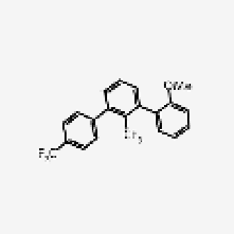 COc1ccccc1-c1cc[c]c(-c2ccc(C(F)(F)F)cc2)c1C(F)(F)F